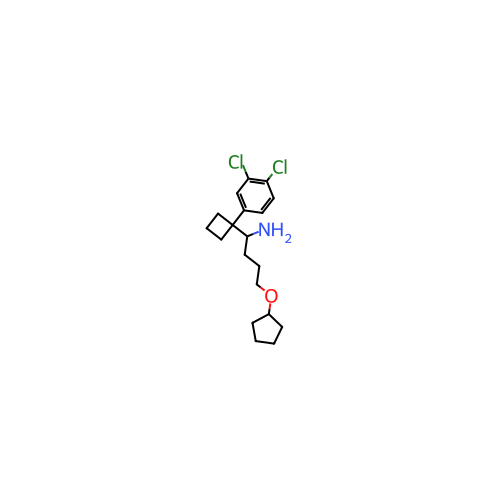 NC(CCCOC1CCCC1)C1(c2ccc(Cl)c(Cl)c2)CCC1